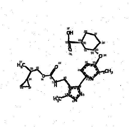 Cc1nc(-c2nnn(C)c2CNC(=O)OCC(C)C2CC2)ccc1O[C@H]1CCC[C@H](C(=O)O)C1